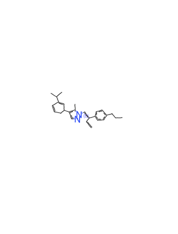 C=C/C(=C\n1ncc(C2C=C(C(C)C)C=CC2)c1C)c1ccc(CCC)cc1